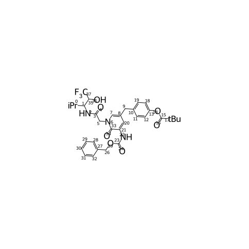 CC(C)C(NC(=O)Cn1cc(Cc2ccc(OC(=O)C(C)(C)C)cc2)cc(NC(=O)OCc2ccccc2)c1=O)C(O)C(F)(F)F